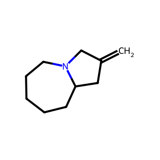 C=C1CC2CCCCCN2C1